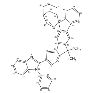 CC1(C)c2ccc(-c3nc4ccccc4n3-c3ccccc3)cc2-c2cc3c(cc21)-c1ccccc1C31C2CC3CC(C2)CC1C3